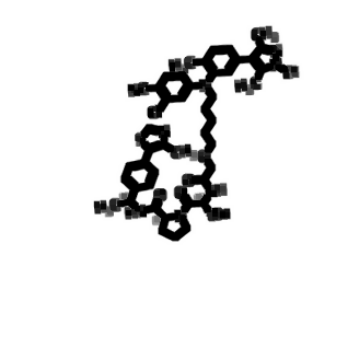 CCn1nc(C)c(-c2ccc(C)c(N(CCCCCOCC(=O)N[C@H](C(=O)N3CCC[C@H]3C(=O)N[C@@H](C)c3ccc(-c4scnc4C)cc3)C(C)(C)C)c3ccc(C#N)c(Cl)c3)c2)c1C